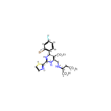 CCOC(=O)C1=C(CN[C@@H](CC(=O)O)C(=O)O)NC(c2nccs2)=NC1c1ccc(F)cc1Br